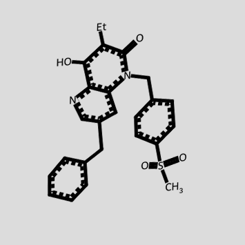 CCc1c(O)c2ncc(Cc3ccccc3)cc2n(Cc2ccc(S(C)(=O)=O)cc2)c1=O